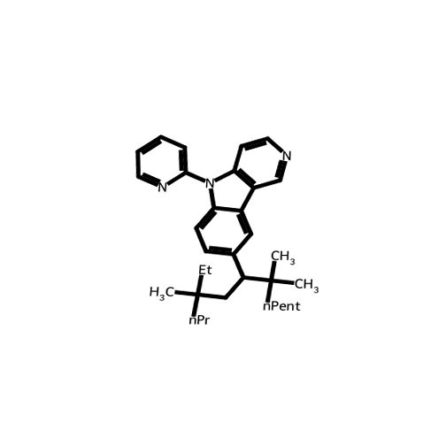 CCCCCC(C)(C)C(CC(C)(CC)CCC)c1ccc2c(c1)c1cnccc1n2-c1ccccn1